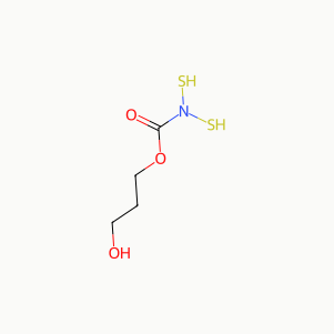 O=C(OCCCO)N(S)S